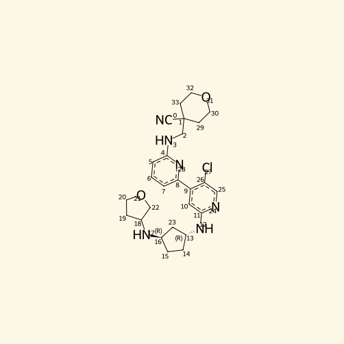 N#CC1(CNc2cccc(-c3cc(N[C@@H]4CC[C@@H](NC5CCOC5)C4)ncc3Cl)n2)CCOCC1